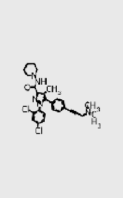 Cc1c(C(=O)NN2CCCCC2)nn(-c2ccc(Cl)cc2Cl)c1-c1ccc(C#CCN(C)C)cc1